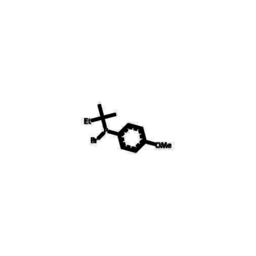 CCC(C)(C)P(Br)c1ccc(OC)cc1